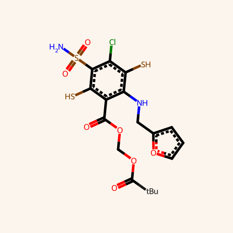 CC(C)(C)C(=O)OCOC(=O)c1c(S)c(S(N)(=O)=O)c(Cl)c(S)c1NCc1ccco1